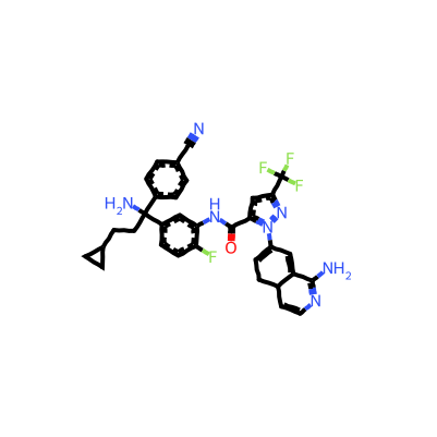 N#Cc1ccc(C(N)(CCC2CC2)c2ccc(F)c(NC(=O)c3cc(C(F)(F)F)nn3C3=CCC4C=CN=C(N)C4=C3)c2)cc1